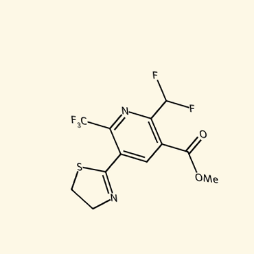 COC(=O)c1cc(C2=NCCS2)c(C(F)(F)F)nc1C(F)F